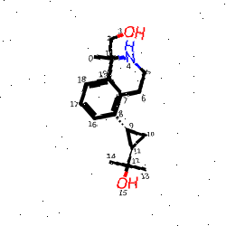 CC1(CO)NCCc2c([C@@H]3C[C@H]3C(C)(C)O)cccc21